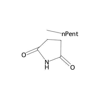 CCCCCC.O=C1CCC(=O)N1